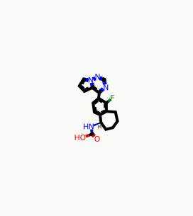 O=C(O)N[C@@H]1CCCCc2c1ccc(-c1ncnn3cccc13)c2F